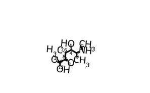 CN[C@@H](C)[C@H](O)[C@@H](C)C(=O)C(=O)O